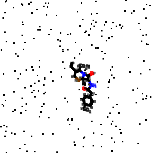 C=CC1=C(C(=O)O)N2C(=O)[C@@H](NC(=O)Cc3ccc([N+](=O)[O-])cc3)[C@H]2SC1